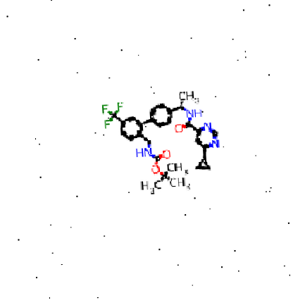 C[C@@H](NC(=O)c1cc(C2CC2)ncn1)c1ccc(-c2cc(C(F)(F)F)ccc2CNC(=O)OC(C)(C)C)cc1